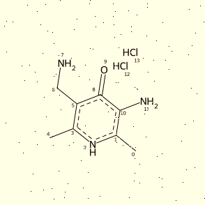 Cc1[nH]c(C)c(CN)c(=O)c1N.Cl.Cl